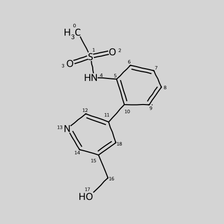 CS(=O)(=O)Nc1ccc[c]c1-c1cncc(CO)c1